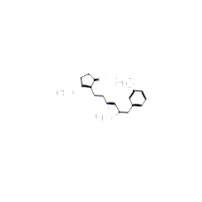 CC1=C(CC/C=C/C(C)Cc2cccc(O)c2)C(=O)CC1